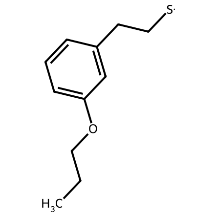 CCCOc1cccc(CC[S])c1